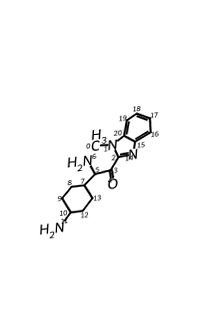 Cn1c(C(=O)C(N)C2CCC(N)CC2)nc2ccccc21